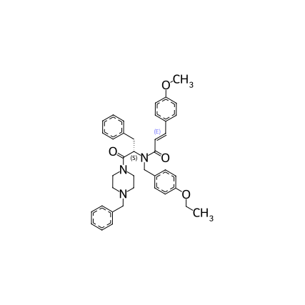 CCOc1ccc(CN(C(=O)/C=C/c2ccc(OC)cc2)[C@@H](Cc2ccccc2)C(=O)N2CCN(Cc3ccccc3)CC2)cc1